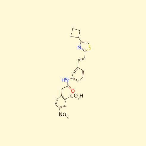 O=C(Cc1ccc([N+](=O)[O-])cc1C(=O)O)Nc1cccc(C=Cc2nc(C3CCC3)cs2)c1